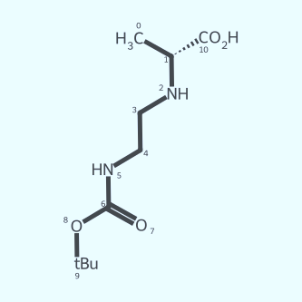 C[C@@H](NCCNC(=O)OC(C)(C)C)C(=O)O